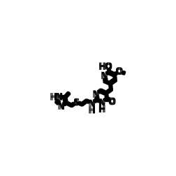 COc1cc(Cc2cnc(NCCSCc3nc[nH]c3C)[nH]c2=O)cnc1O